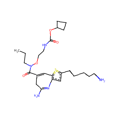 CCCN(OCCNC(=O)OC1CCC1)C(=O)C1=Cc2sc(CCCCCN)cc2N=C(N)C1